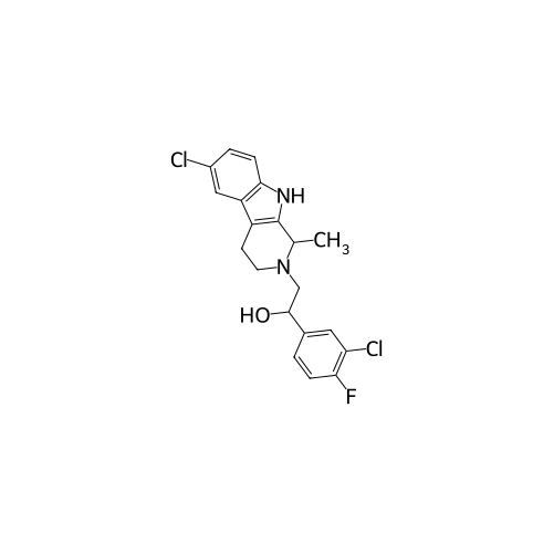 CC1c2[nH]c3ccc(Cl)cc3c2CCN1CC(O)c1ccc(F)c(Cl)c1